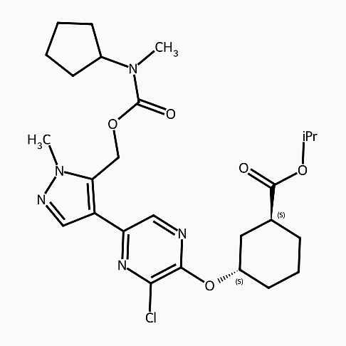 CC(C)OC(=O)[C@H]1CCC[C@H](Oc2ncc(-c3cnn(C)c3COC(=O)N(C)C3CCCC3)nc2Cl)C1